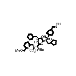 CC[C@H](C)[C@@H](C(=O)N[C@@H](Cc1ccccc1)[C@@H](O)CN(CC1CCCC1)S(=O)(=O)c1ccc(C=NO)cc1)N(Cc1cccc(COC)n1)C(=O)O